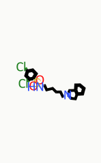 O=S(=O)(NCCCCCCN1CCc2ccccc2C1)c1ccc(Cl)cc1Cl